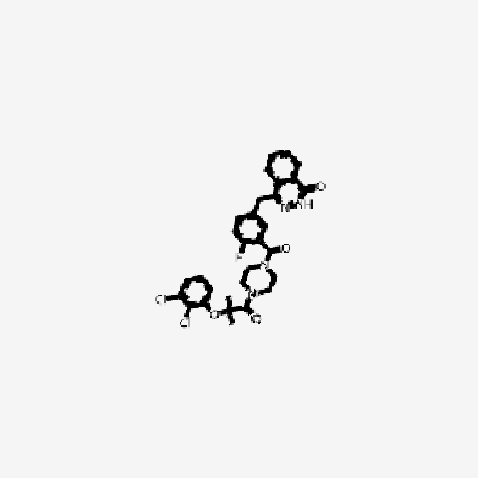 CC(C)(Oc1cccc(Cl)c1Cl)C(=O)N1CCN(C(=O)c2cc(Cc3n[nH]c(=O)c4ccccc34)ccc2F)CC1